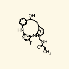 C=CC(=O)NCC1C2CC3SCC(O)c4cccc(c4)Nc4ncc(F)c(n4)NC1C3C2